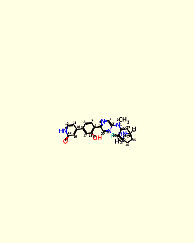 CN(c1cnc(-c2ccc(-c3cc[nH]c(=O)c3)cc2O)cn1)[C@H]1C[C@@H]2CC[C@@H](N2)[C@H]1F